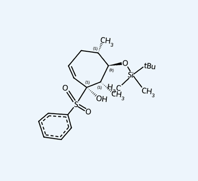 C[C@H]1CC=C[C@](O)(S(=O)(=O)c2ccccc2)[C@@H](C)[C@@H]1O[Si](C)(C)C(C)(C)C